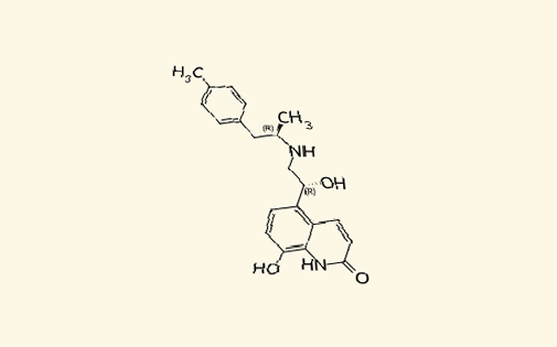 Cc1ccc(C[C@@H](C)NC[C@H](O)c2ccc(O)c3[nH]c(=O)ccc23)cc1